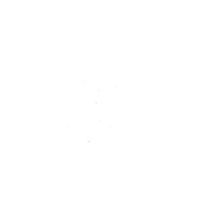 Cc1ccc2c(c1)C(c1ccc(C)s1)(c1ccc(C)s1)c1cc(C)ccc1-2